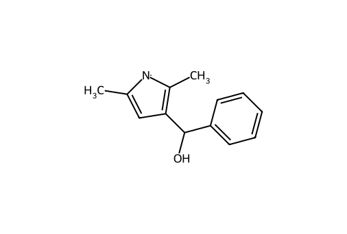 CC1=CC(C(O)c2ccccc2)=C(C)[N]1